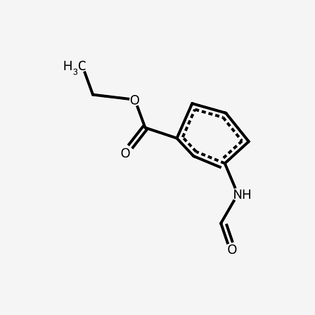 CCOC(=O)c1cccc(NC=O)c1